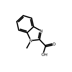 Cn1c(C(=O)O)nc2ccccc21